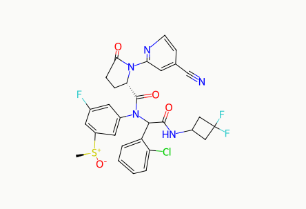 C[S@+]([O-])c1cc(F)cc(N(C(=O)[C@@H]2CCC(=O)N2c2cc(C#N)ccn2)C(C(=O)NC2CC(F)(F)C2)c2ccccc2Cl)c1